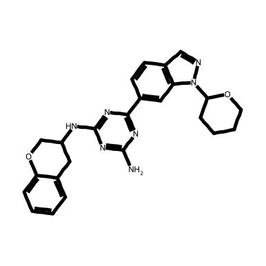 Nc1nc(NC2COc3ccccc3C2)nc(-c2ccc3cnn(C4CCCCO4)c3c2)n1